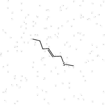 [CH2]CCC=CCSC